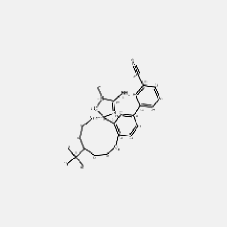 CN1O[C@@]2(CCCC(C(C)(C)C)CCOc3ccc(-c4cccc(C#N)c4)cc32)N=C1N